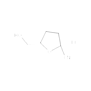 CC[C@@]1(C#N)CC[C@@H](CO)O1